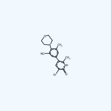 CCc1cc(-c2cc(C)c(N3CCOCC3)c(C#N)c2)c(C)[nH]c1=O